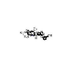 C#Cc1cccc(Nc2ncnc3cnc(NC(=O)/C=C/C[N+](C)(C)Cc4c([N+](=O)[O-])ncn4CCC(N)=O)cc23)c1